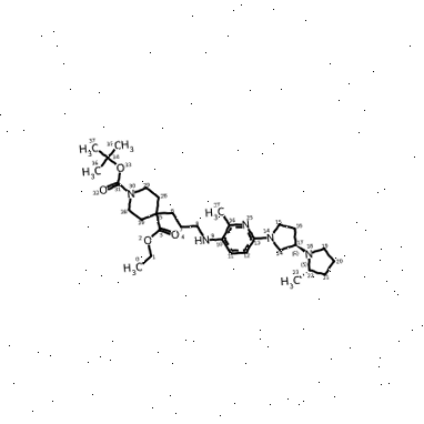 CCOC(=O)C1(CCCNc2ccc(N3CC[C@@H](N4CCC[C@@H]4C)C3)nc2C)CCN(C(=O)OC(C)(C)C)CC1